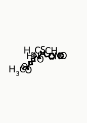 COC(=O)C1CC2(CC(NC(=O)c3c(C)sc(C)c3Cc3ccc(N4CCOCC4)cc3)C2)C1